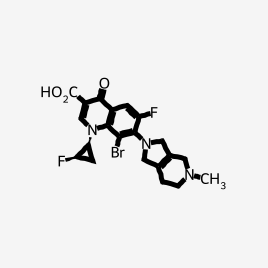 CN1CCC2=C(C1)CN(c1c(F)cc3c(=O)c(C(=O)O)cn([C@@H]4C[C@H]4F)c3c1Br)C2